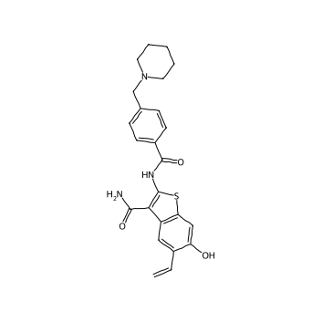 C=Cc1cc2c(C(N)=O)c(NC(=O)c3ccc(CN4CCCCC4)cc3)sc2cc1O